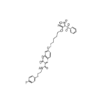 O=C(NCCCc1ccc(F)cc1)c1cc2ccc(OCCCCCCOc3no[n+]([O-])c3S(=O)(=O)c3ccccc3)cc2oc1=O